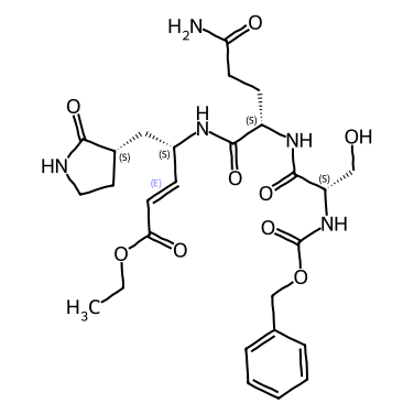 CCOC(=O)/C=C/[C@H](C[C@@H]1CCNC1=O)NC(=O)[C@H](CCC(N)=O)NC(=O)[C@H](CO)NC(=O)OCc1ccccc1